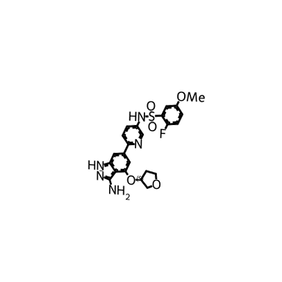 COc1ccc(F)c(S(=O)(=O)Nc2ccc(-c3cc(O[C@H]4CCOC4)c4c(N)n[nH]c4c3)nc2)c1